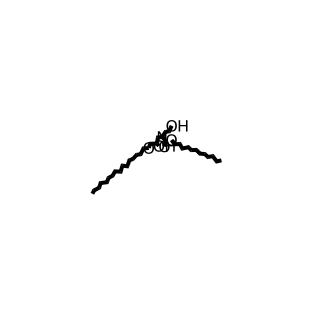 CCCCCCCCCCCCCCCCOCC(O)CN(CCO)C(=O)OCCCCCCCCCCCC